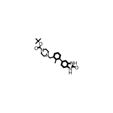 Cc1c(CN2CCN(C(=O)OC(C)(C)C)CC2)cccc1-c1ccc2[nH]c(=O)[nH]c2c1